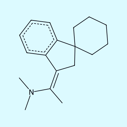 C/C(=C1\CC2(CCCCC2)c2ccccc21)N(C)C